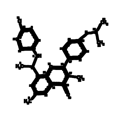 Cc1cc(C(C)Nc2ccc(Cl)nc2)c2oc(-c3ccc(CN(C)C)cc3)c(C)c(=O)c2c1